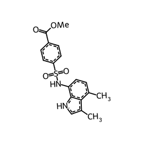 COC(=O)c1ccc(S(=O)(=O)Nc2ccc(C)c3c(C)c[nH]c23)cc1